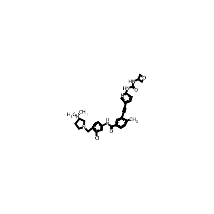 Cc1ccc(C(=O)Nc2ccc(CN3CCC(N(C)C)C3)c(Cl)c2)cc1C#Cc1ccc(NC(=O)NC2COC2)nc1